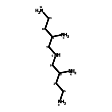 NCCC(N)CNCC(N)CCN